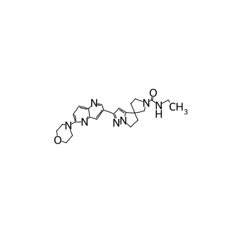 CCNC(=O)N1CCC2(CCn3nc(-c4cnc5ccc(N6CCOCC6)nc5c4)cc32)C1